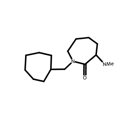 CNC1CCCCN(CC2CCCCCC2)C1=O